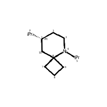 CC(C)[C@@H]1CCN(C(C)C)C2(CCC2)C1